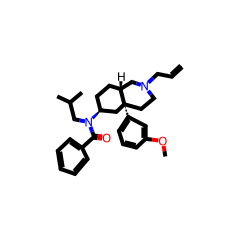 C=CCN1CC[C@@]2(c3cccc(OC)c3)C[C@@H](N(CC(C)C)C(=O)c3ccccc3)CC[C@@H]2C1